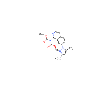 CC(C)(C)OC(=O)N(C(=O)OC(C)(C)C)c1nccc2ccc(-n3nc(C(=O)O)cc3C(F)(F)F)cc12